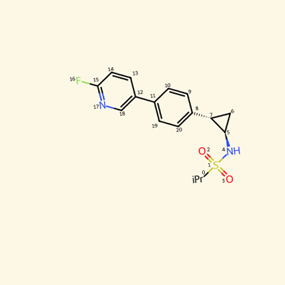 CC(C)S(=O)(=O)N[C@@H]1C[C@H]1c1ccc(-c2ccc(F)nc2)cc1